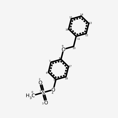 CS(=O)(=O)Oc1ccc(OCc2ccccc2)cc1